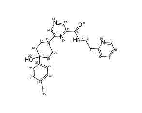 O=C(NCCc1ccccn1)c1cncc(N2CCC(O)(c3ccc(F)cc3)CC2)n1